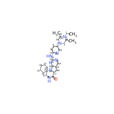 CCN1[C@H](C)CN(c2ccc(Nc3ncc4cc5n(c4n3)C3(CCCCC3)CNC5=O)nc2)C[C@@H]1C